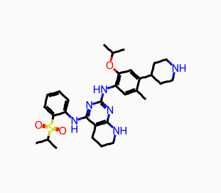 Cc1cc(Nc2nc3c(c(Nc4ccccc4S(=O)(=O)C(C)C)n2)CCCN3)c(OC(C)C)cc1C1CCNCC1